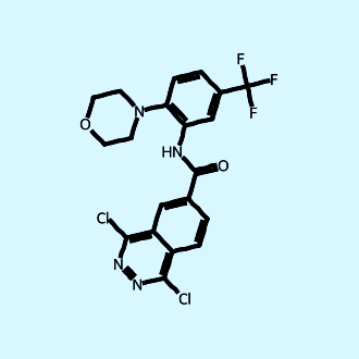 O=C(Nc1cc(C(F)(F)F)ccc1N1CCOCC1)c1ccc2c(Cl)nnc(Cl)c2c1